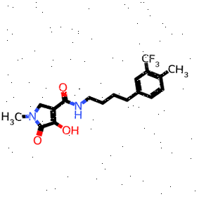 Cc1ccc(CCCCNC(=O)C2=C(O)C(=O)N(C)C2)cc1C(F)(F)F